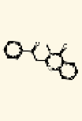 Cn1c(CC(=O)c2ccccc2)nc2ccccc2c1=O